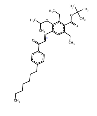 CCCCCCCc1ccc(C(=O)/C=C/c2cc(CC)c(C(=O)OC(C)(C)C)c(CC)c2OC(C)C)cc1